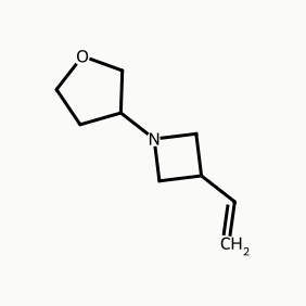 C=CC1CN(C2CCOC2)C1